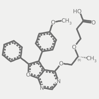 COc1ccc(-c2c(-c3ccccc3)oc3ncnc(OC[C@@H](C)OCCC(=O)O)c23)cc1